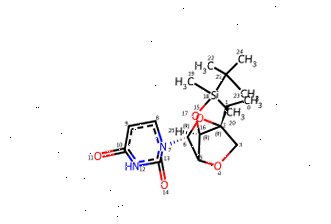 CC[C@]12COC([C@H](n3ccc(=O)[nH]c3=O)O1)[C@H]2O[Si](C)(C)C(C)(C)C